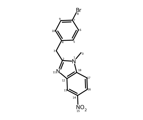 Cn1c(Cc2ccc(Br)cc2)nc2cc([N+](=O)[O-])ccc21